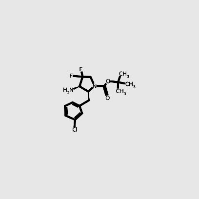 CC(C)(C)OC(=O)N1CC(F)(F)[C@H](N)[C@@H]1Cc1cccc(Cl)c1